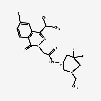 CCN1C[C@H](NC(=O)Cn2nc(C(C)C)c3cc(Br)ccc3c2=O)CC(F)(F)C1